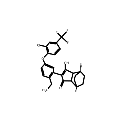 CCc1ccc(Oc2ccc(C(F)(F)F)cc2Cl)cc1C1=C(O)C2C(C1=O)[C@H]1CC[C@@H]2CC1